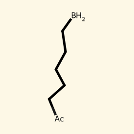 BCCCCCC(C)=O